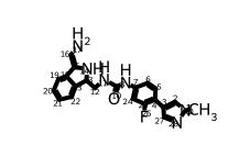 Cn1cc(-c2ccc(NC(=O)NCC3N/C(=C\N)c4ccccc43)cc2F)cn1